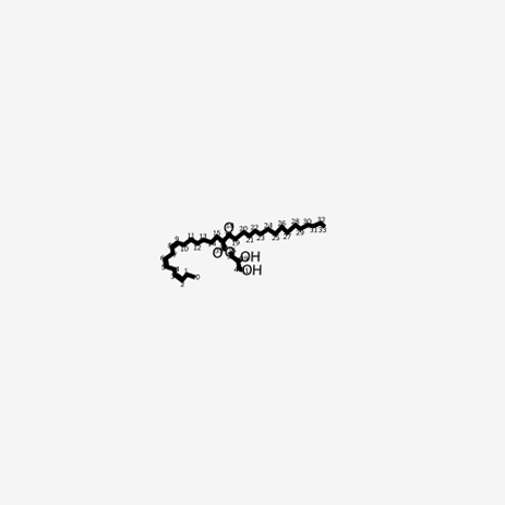 CC/C=C\C/C=C\C/C=C\CCCCCCC(C(=O)CCCCCCCCCCCCCCC)C(=O)OCC(O)CO